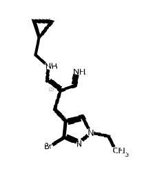 CCn1cc(C/C(C=N)=C/NCC2CC2)c(Br)n1